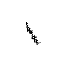 C=CCCOc1ccc(-c2ccc(COc3ccc(C4CCC(C(C)O)CC4)c(F)c3F)cc2)c(F)c1